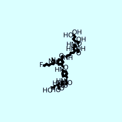 O=C(NC(CCCCNC(=O)c1cc(C(=O)Nc2ccc(C[C@H](NC(=O)N[C@@H](CCCO)C(=O)O)C(=O)O)cc2)cc(-n2cc(CCCF)nn2)c1)C(=O)O)NC(CCC(O)O)C(=O)O